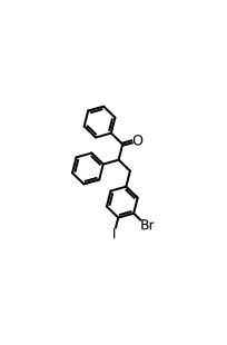 O=C(c1ccccc1)C(Cc1ccc(I)c(Br)c1)c1ccccc1